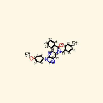 CCOc1ccc(-n2cnc3cc(N(Cc4ccc(CC)cc4)C(=O)c4ccccc4)cnc32)cc1